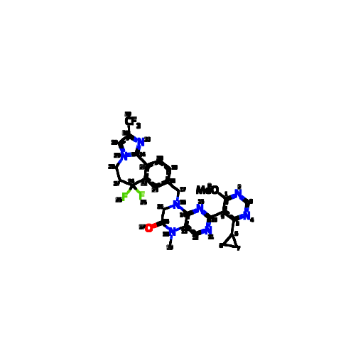 COc1ncnc(C2CC2)c1-c1ncc2c(n1)N(Cc1ccc3c(c1)C(F)(F)CCn1cc(C(F)(F)F)nc1-3)CC(=O)N2C